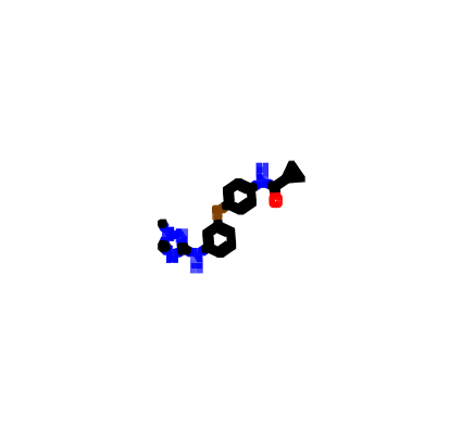 Cn1cnc(Nc2cccc(Sc3ccc(NC(=O)C4CC4)cc3)c2)n1